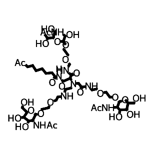 CC(=O)CCCCCCC(=O)NCC(C(=O)NCOCCOC(OC(CO)C(C)O)C(O)NC(C)=O)N(CC(=O)NCCOCCOC1OC(CO)C(O)C(O)C1NC(C)=O)CC(=O)NCCOCCOC1OC(CO)C(O)C(O)C1NC(C)=O